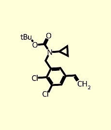 C=Cc1cc(Cl)c(Cl)c(CN(C(=O)OC(C)(C)C)C2CC2)c1